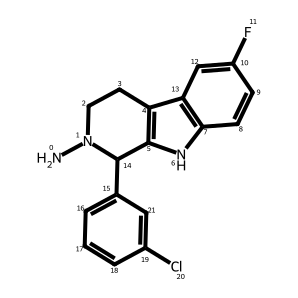 NN1CCc2c([nH]c3ccc(F)cc23)C1c1cccc(Cl)c1